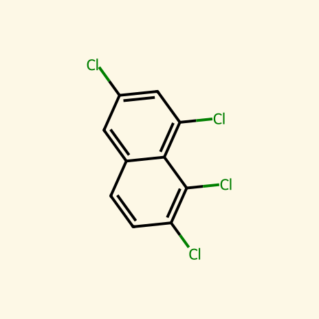 Clc1cc(Cl)c2c(Cl)c(Cl)ccc2c1